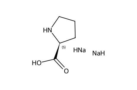 O=C(O)[C@@H]1CCCN1.[NaH].[NaH]